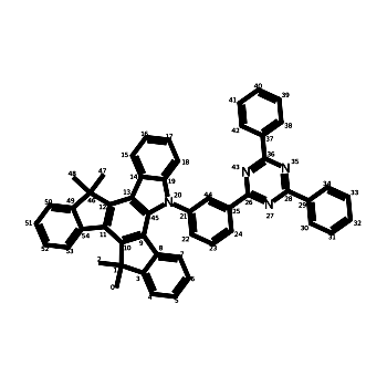 CC1(C)c2ccccc2-c2c1c1c(c3c4ccccc4n(-c4cccc(-c5nc(-c6ccccc6)nc(-c6ccccc6)n5)c4)c23)C(C)(C)c2ccccc2-1